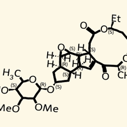 CC[C@H]1CCCC[C@@H](C)C(=O)C2=C[C@H]3[C@@H]4C[C@H](O[C@@H]5OC(C)[C@H](O)C(OC)C5OC)C[C@H]4[C@H]4O[C@H]4[C@H]3[C@@H]2CC(=O)O1